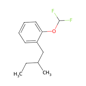 CCC(C)Cc1ccccc1OC(F)F